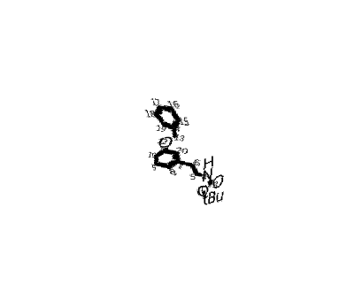 CC(C)(C)OC(=O)NCCc1cccc(OCc2ccccc2)c1